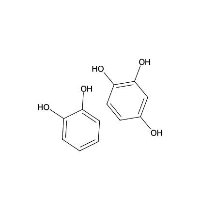 Oc1ccc(O)c(O)c1.Oc1ccccc1O